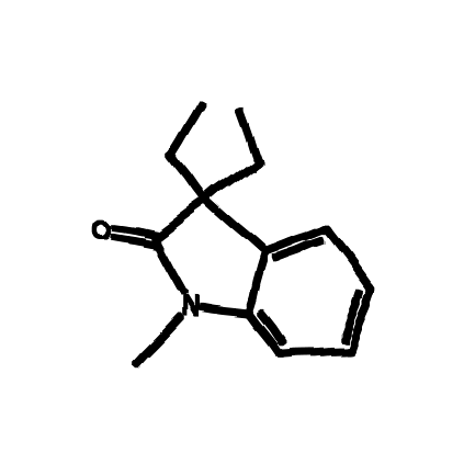 CCC1(CC)C(=O)N(C)c2ccccc21